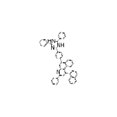 C1=CC(C2=NC(c3ccc(-c4cc5nc(-c6ccccc6)cc(-c6cccc7ccccc67)c5c5ccccc45)cc3)NC(c3ccccc3)N2)=CCC1